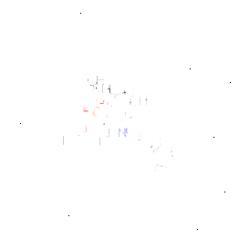 C=CC(CC)(CC)C(C)(C(=O)NOCc1ccccc1)P(=O)(OCC)OCC